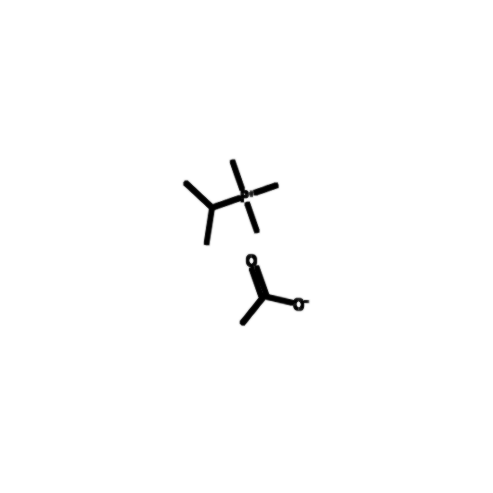 CC(=O)[O-].CC(C)[P+](C)(C)C